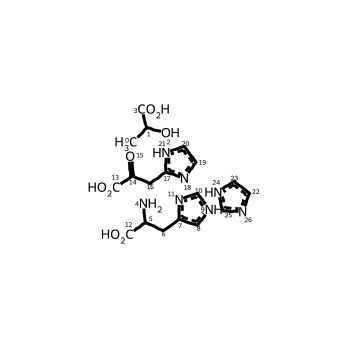 CC(O)C(=O)O.NC(Cc1c[nH]cn1)C(=O)O.O=C(O)C(=O)Cc1ncc[nH]1.c1c[nH]cn1